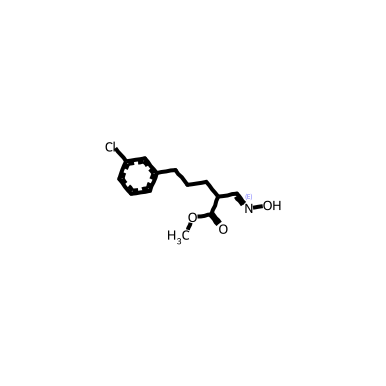 COC(=O)C(/C=N/O)CCCc1cccc(Cl)c1